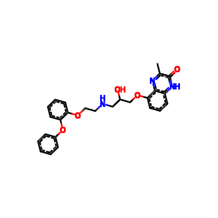 Cc1nc2c(OCC(O)CNCCOc3ccccc3Oc3ccccc3)cccc2[nH]c1=O